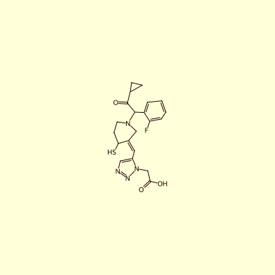 O=C(O)Cn1nncc1C=C1CN(C(C(=O)C2CC2)c2ccccc2F)CCC1S